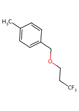 Cc1ccc(COCCC(F)(F)F)cc1